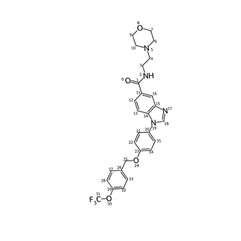 O=C(NCCN1CCOCC1)c1ccc2c(c1)ncn2-c1ccc(OCc2ccc(OC(F)(F)F)cc2)cc1